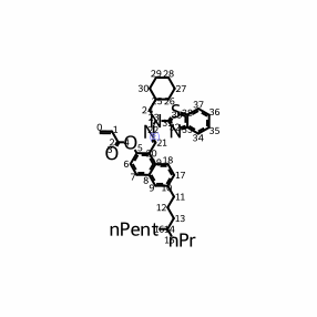 C=CC(=O)Oc1ccc2cc(CCCC(CCC)CCCCC)ccc2c1/C=N/N(CC1CCCCC1)c1nc2ccccc2s1